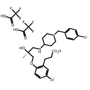 C[C@](O)(CNC1CCN(Cc2ccc(Cl)cc2)CC1)COc1ccc(Cl)cc1CCC(=O)O.O=C(O)C(F)(F)F.O=C(O)C(F)(F)F